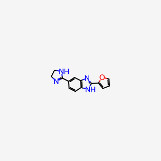 c1coc(-c2nc3cc(C4=NCCN4)ccc3[nH]2)c1